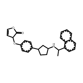 CC(NC1CCC(c2ccc(OC3C=COC3=O)cc2)C1)c1cccc2ccccc12